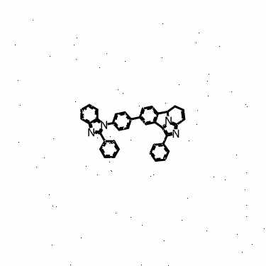 C1=Cc2nc(-c3ccccc3)c3n2C(C1)c1ccc(-c2ccc(-n4c(-c5ccccc5)nc5ccccc54)cc2)cc1-3